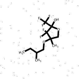 CCC(C)COC1(C)COC(O)(C(F)(F)F)C1(F)F